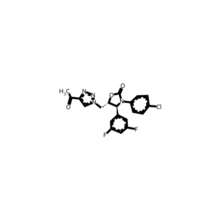 CC(=O)c1cn(C[C@@H]2OC(=O)N(c3ccc(Cl)cc3)[C@H]2c2cc(F)cc(F)c2)nn1